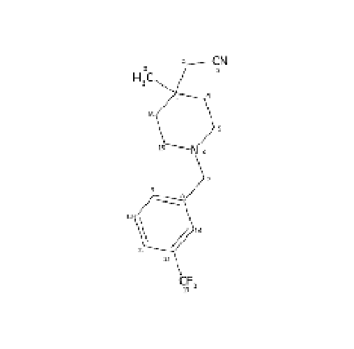 CC1(CC#N)CCN(Cc2cccc(C(F)(F)F)c2)CC1